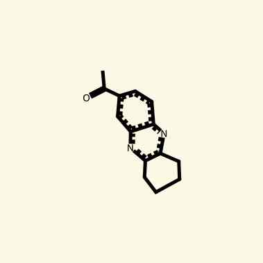 CC(=O)c1ccc2nc3c(nc2c1)CCCC3